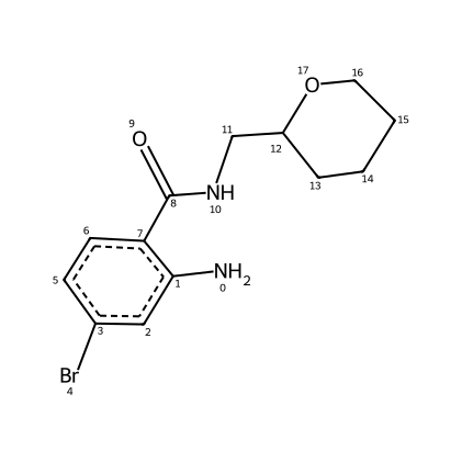 Nc1cc(Br)ccc1C(=O)NCC1CCCCO1